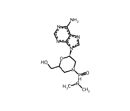 CN(C)[PH](=O)N1CC(CO)O[C@@H](n2cnc3c(N)ncnc32)C1